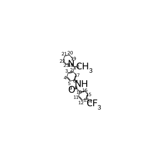 CC(c1cccc(NC(=O)c2ccc(C(F)(F)F)cc2)c1)N1CCCCC1